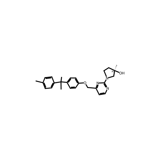 Cc1ccc(C(C)(C)c2ccc(OCc3ccnc(N4CC[C@@](C)(O)C4)n3)cc2)cc1